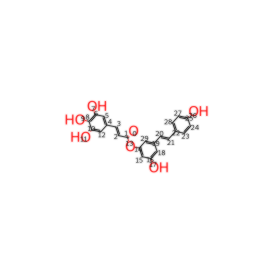 O=C(/C=C/c1cc(O)c(O)c(O)c1)Oc1cc(O)cc(/C=C/c2ccc(O)cc2)c1